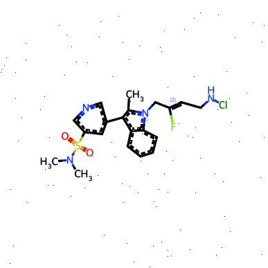 Cc1c(-c2cncc(S(=O)(=O)N(C)C)c2)c2ccccc2n1C/C(F)=C/CNCl